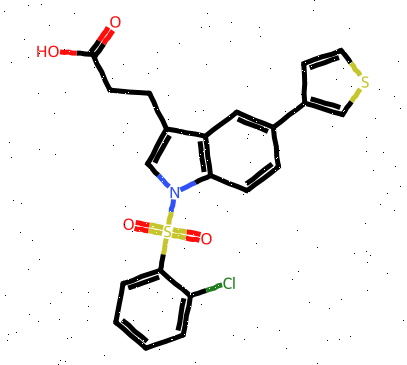 O=C(O)CCc1cn(S(=O)(=O)c2ccccc2Cl)c2ccc(-c3ccsc3)cc12